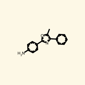 Cc1oc(-c2ccc(N)cc2)nc1-c1ccccc1